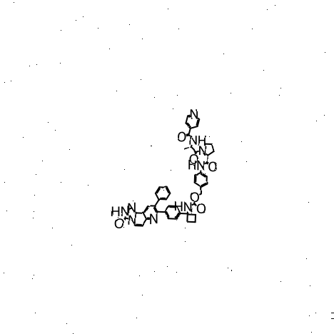 C[C@@H](NC(=O)c1ccncc1)C(=O)N1CCC[C@H]1C(=O)Nc1ccc(COC(=O)NC2(c3ccc(-c4nc5ccn6c(=O)[nH]nc6c5cc4-c4ccccc4)cc3)CCC2)cc1